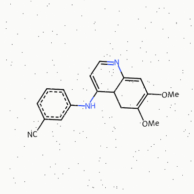 COC1=C(OC)CC2C(=C1)N=CC=C2Nc1cccc(C#N)c1